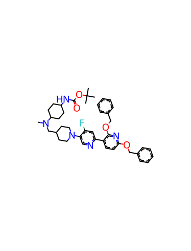 CN(CC1CCN(c2cnc(-c3ccc(OCc4ccccc4)nc3OCc3ccccc3)cc2F)CC1)C1CCC(NC(=O)OC(C)(C)C)CC1